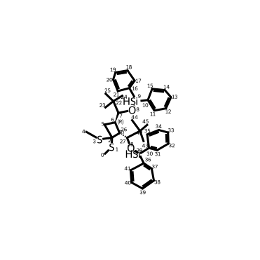 CSC1(SC)C[C@@H](C(O[SiH](c2ccccc2)c2ccccc2)C(C)(C)C)[C@@H]1C(O[SiH](c1ccccc1)c1ccccc1)C(C)(C)C